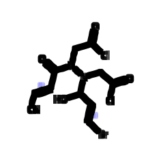 N#C/C=C/C(=O)N(CC(=O)Cl)N(CC(=O)Cl)C(O)/C=C/Br